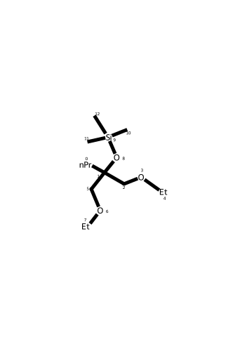 CCCC(COCC)(COCC)O[Si](C)(C)C